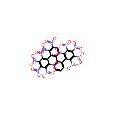 O=[N+]([O-])c1ccc(-c2ccccc2-c2c([N+](=O)[O-])c([N+](=O)[O-])c([N+](=O)[O-])c([N+](=O)[O-])c2[N+](=O)[O-])c(-c2c([N+](=O)[O-])c([N+](=O)[O-])c([N+](=O)[O-])c([N+](=O)[O-])c2[N+](=O)[O-])c1[N+](=O)[O-]